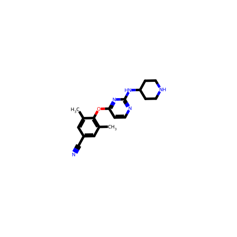 Cc1cc(C#N)cc(C)c1Oc1ccnc(NC2CCNCC2)n1